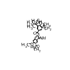 CCOc1cc2c(cc1C(=O)NC)C(=N)N(CC(=O)c1cc(N(C)C)c(OC)c(C(C)(C)C)c1)C2